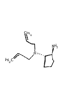 C=CCN(CC=C)[C@H]1CCC[C@@H]1N